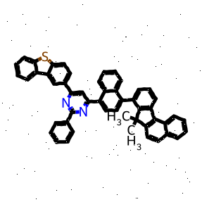 CC1(C)c2ccc3ccccc3c2-c2cccc(-c3ccc(-c4cc(-c5ccc6sc7ccccc7c6c5)nc(-c5ccccc5)n4)c4ccccc34)c21